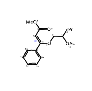 CCCC(CO/C(=C\C(=O)OC)c1ccccc1)OC(C)=O